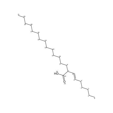 CCCCCC=CC(CCCCCCCCCCCCCC)C(=O)O